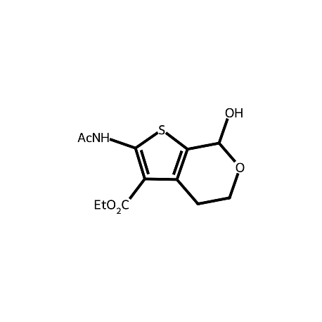 CCOC(=O)c1c(NC(C)=O)sc2c1CCOC2O